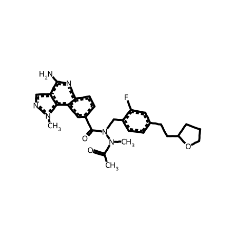 CC(=O)N(C)N(Cc1ccc(CCC2CCCO2)cc1F)C(=O)c1ccc2nc(N)c3cnn(C)c3c2c1